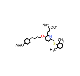 COc1ccc(CCCCOc2ccc(CSc3c(C)cccc3C)nc2C=CC(=O)[O-])cc1.[Na+]